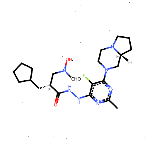 Cc1nc(NNC(=O)[C@H](CC2CCCC2)CN(O)C=O)c(F)c(N2CCN3CCC[C@@H]3C2)n1